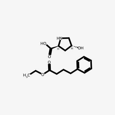 CCOC(=O)CCCc1ccccc1.O=C(O)[C@@H]1C[C@@H](O)CN1